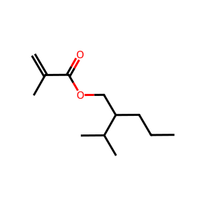 C=C(C)C(=O)OCC(CCC)C(C)C